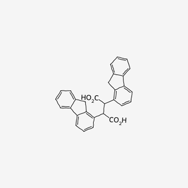 O=C(O)C(c1cccc2c1Cc1ccccc1-2)C(C(=O)O)c1cccc2c1Cc1ccccc1-2